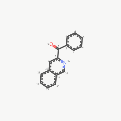 O=C(c1ccccc1)c1cc2ccccc2cn1